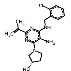 C=C(C)c1nc(NCc2ccccc2Cl)c(N)c(N2CC[C@H](O)C2)n1